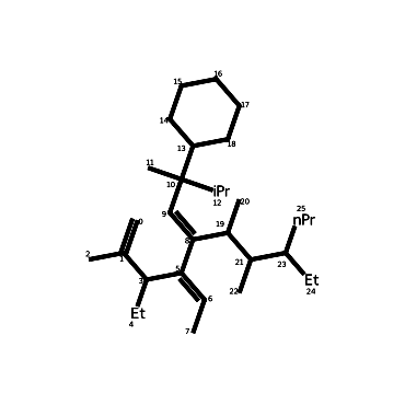 C=C(C)C(CC)C(=C\C)/C(=C/C(C)(C(C)C)C1CCCCC1)C(C)C(C)C(CC)CCC